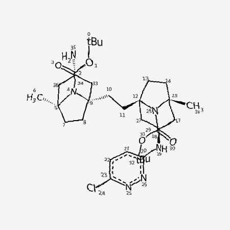 CC(C)(C)OC(=O)N1[C@@]2(C)CC[C@]1(CC[C@]13CC[C@](C)(C[C@@H](Nc4ccc(Cl)nn4)C1)N3C(=O)OC(C)(C)C)C[C@@H](N)C2